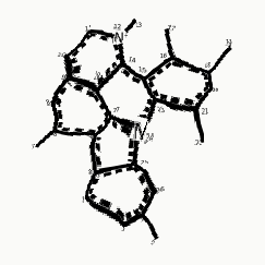 Cc1ccc2c3c(C)cc4cc[n+](C)c5c6c(C)c(C)cc(C)c6n(c2c1)c3c45